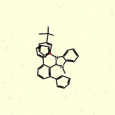 CN1c2ccccc2N(c2cc(C(C)(C)C)ccn2)C1c1c(-c2ccccc2)cccc1-c1ccccc1